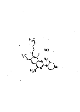 COCCOc1c(OC)cc2c(N)nc(N3CCNC[C@@H]3C)nc2c1F.Cl